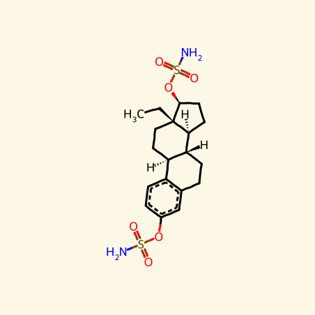 CC[C@]12CC[C@@H]3c4ccc(OS(N)(=O)=O)cc4CC[C@H]3[C@@H]1CC[C@@H]2OS(N)(=O)=O